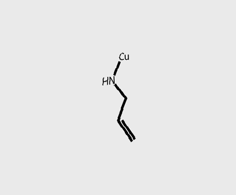 C=CC[NH][Cu]